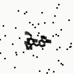 CC(C)CC(=O)NC(Cc1ccc(O)c(C(C)(C)C)c1)c1nnc[nH]1